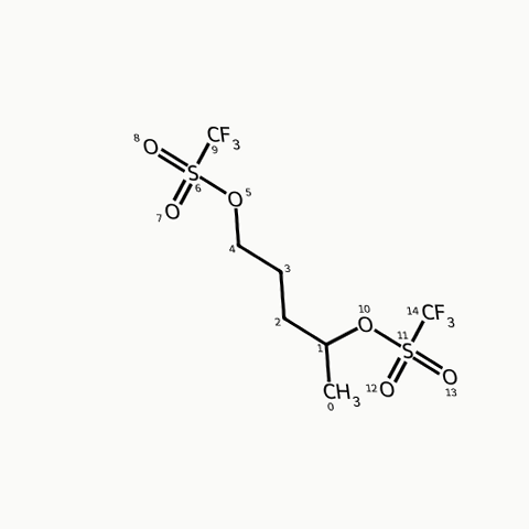 CC(CCCOS(=O)(=O)C(F)(F)F)OS(=O)(=O)C(F)(F)F